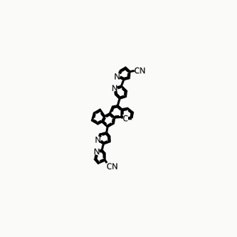 N#Cc1ccnc(-c2ccc(-c3cc4c5ccccc5c(-c5ccc(-c6cc(C#N)ccn6)nc5)cc4c4ccccc34)cn2)c1